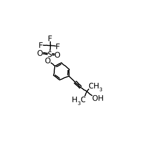 CC(C)(O)C#Cc1ccc(OS(=O)(=O)C(F)(F)F)cc1